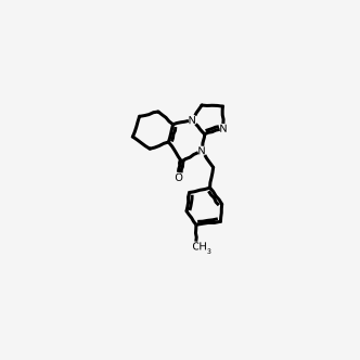 Cc1ccc(CN2C(=O)C3=C(CCCC3)N3CCN=C23)cc1